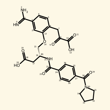 N=C(N)c1ccc(CC(=O)C(=O)O)c(OC[C@@H](CC(=O)O)NC(=O)c2ccc(C(=O)N3CCCC3)cc2)c1